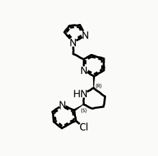 Clc1cccnc1[C@@H]1CCC[C@H](c2cccc(Cn3cccn3)n2)N1